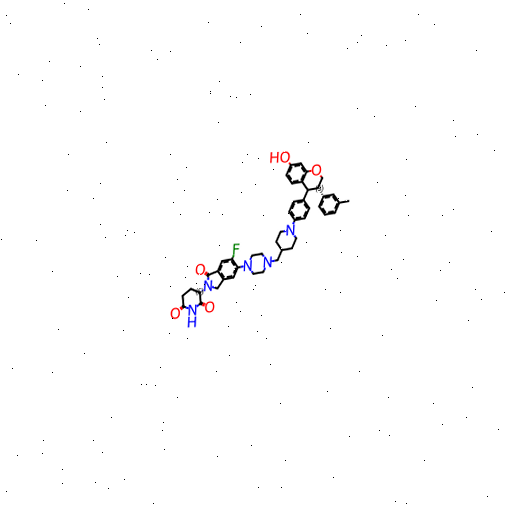 Cc1cccc([C@H]2COc3cc(O)ccc3C2c2ccc(N3CCC(CN4CCN(c5cc6c(cc5F)C(=O)N([C@H]5CCC(=O)NC5=O)C6)CC4)CC3)cc2)c1